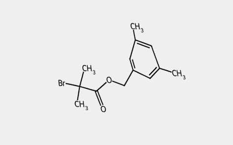 Cc1cc(C)cc(COC(=O)C(C)(C)Br)c1